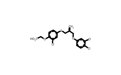 C=C(COc1ccc(Cl)c(Cl)c1)CSc1ccc(OCC(=O)O)c(Cl)c1